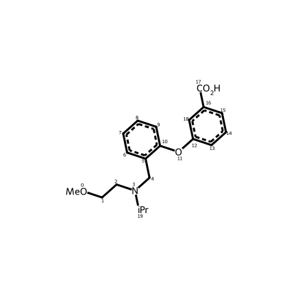 COCCN(Cc1ccccc1Oc1cccc(C(=O)O)c1)C(C)C